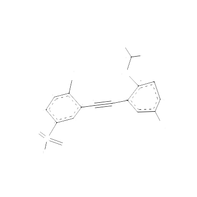 CCCS(=O)(=O)c1ccc(C)c(C#Cc2cc(Cl)ccc2OC(CC)C(=O)O)c1